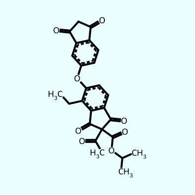 CCc1c(Oc2ccc3c(c2)C(=O)CC3=O)ccc2c1C(=O)C(C(C)=O)(C(=O)OC(C)C)C2=O